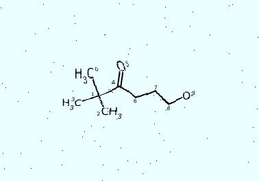 CC(C)(C)C(=O)CCC[O]